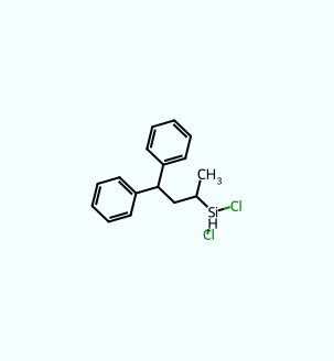 CC(CC(c1ccccc1)c1ccccc1)[SiH](Cl)Cl